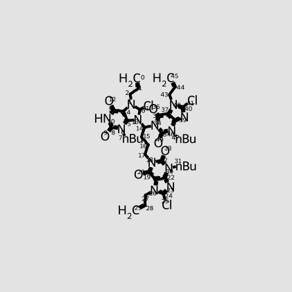 C=CCN1c2c(n(CCCC)c(=O)[nH]c2=O)N(C(CCCn2c(=O)c3c(nc(Cl)n3CC=C)n(CCCC)c2=O)n2c(=O)c3c(nc(Cl)n3CC=C)n(CCCC)c2=O)C1Cl